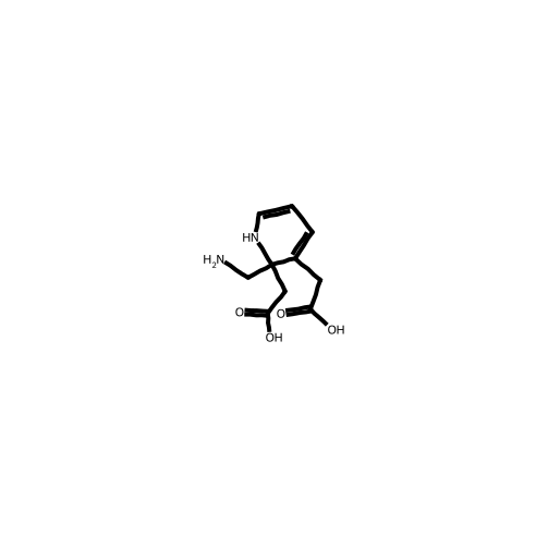 NCC1(CC(=O)O)NC=CC=C1CC(=O)O